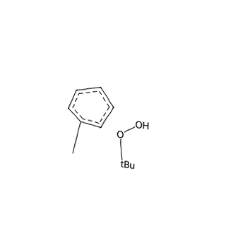 CC(C)(C)OO.Cc1ccccc1